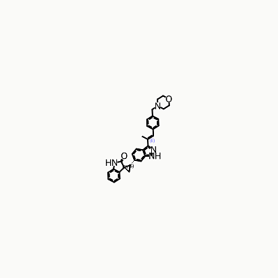 C/C(=C\c1ccc(CN2CCOCC2)cc1)c1n[nH]c2cc([C@@H]3C[C@@]34C(=O)Nc3ccccc34)ccc12